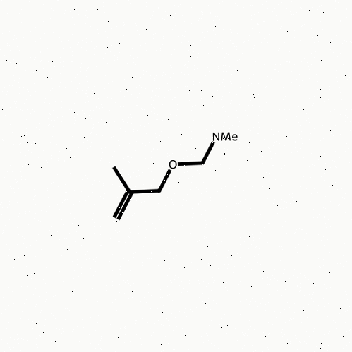 C=C(C)COCNC